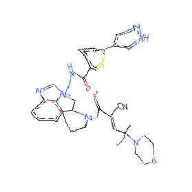 CC(C)(C=C(C#N)C(=O)N1CCCC1C[N+]1(NC(=O)c2ccc(-c3cn[nH]c3)s2)C=Nc2ccccc21)N1CCOCC1